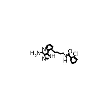 Nc1nc2cccc(CCCCNC(=O)c3ccccc3Cl)c2c2[nH]cnc12